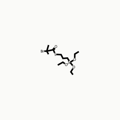 CCO[Si](CCCSC(=O)C(C)(C)Br)(OCC)OCC